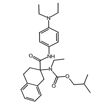 CCN(CC)c1ccc(NC(=O)C2(N(CC)C(=O)OCC(C)C)CCc3ccccc3C2)cc1